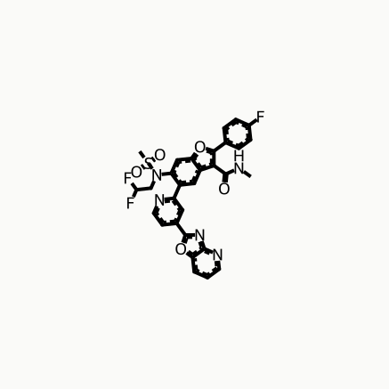 CNC(=O)c1c(-c2ccc(F)cc2)oc2cc(N(CC(F)F)S(C)(=O)=O)c(-c3cc(-c4nc5ncccc5o4)ccn3)cc12